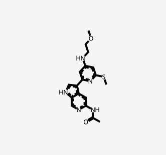 COCCNc1cc(SC)nc(-c2c[nH]c3cnc(NC(C)=O)cc23)c1